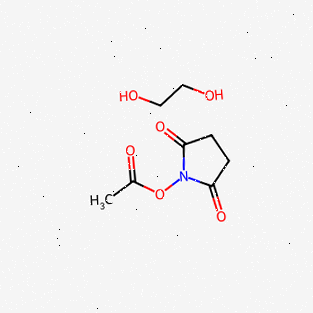 CC(=O)ON1C(=O)CCC1=O.OCCO